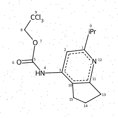 CC(C)c1cc(NC(=O)OCC(Cl)(Cl)Cl)c2c(n1)CCC2